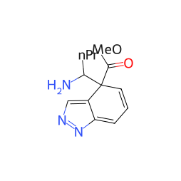 CCCC(N)C1(C(=O)OC)C=CC=C2N=NC=C21